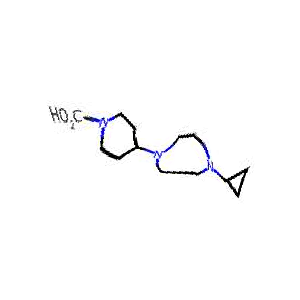 O=C(O)N1CCC(N2CCN(C3CC3)CC2)CC1